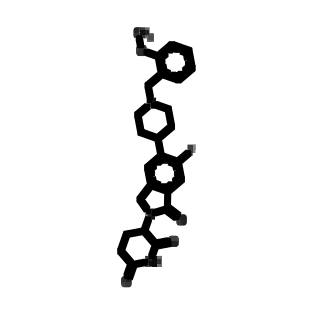 COc1ccccc1CN1CCC(c2cc3c(cc2F)C(=O)N(C2CCC(=O)NC2=O)C3)CC1